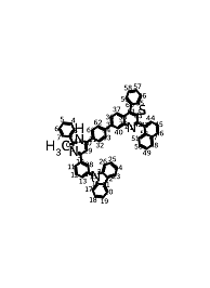 CC1(c2ccccc2)N=C(c2cccc(-n3c4ccccc4c4ccccc43)c2)C=C(c2ccc(-c3ccc4c(c3)nc(-c3cccc5ccccc35)c3sc5ccccc5c34)cc2)N1